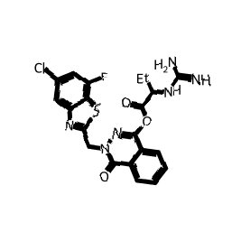 CCC(NC(=N)N)C(=O)Oc1nn(Cc2nc3cc(Cl)cc(F)c3s2)c(=O)c2ccccc12